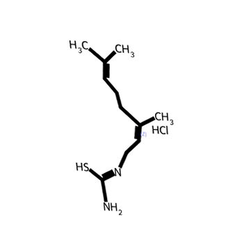 CC(C)=CCC/C(C)=C\CN=C(N)S.Cl